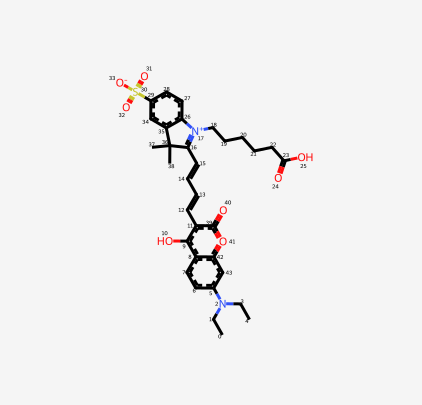 CCN(CC)c1ccc2c(O)c(/C=C/C=C/C3=[N+](CCCCCC(=O)O)c4ccc(S(=O)(=O)[O-])cc4C3(C)C)c(=O)oc2c1